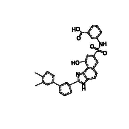 Cc1ccc(-c2cccc(-c3nc4c(ccc5cc(S(=O)(=O)Nc6cccc(C(=O)O)c6)cc(O)c54)[nH]3)c2)cc1C